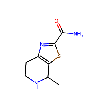 CC1NCCc2nc(C(N)=O)sc21